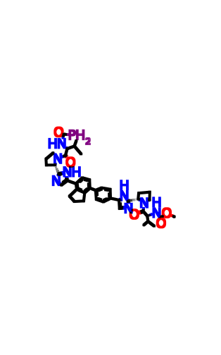 COC(=O)N[C@H](C(=O)N1CCC[C@H]1c1ncc(-c2ccc(-c3ccc(-c4cnc([C@@H]5CCCN5C(=O)[C@@H](NC(=O)P)C(C)C)[nH]4)c4c3CCC4)cc2)[nH]1)C(C)C